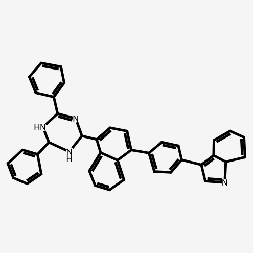 C1=CC2=C(c3ccc(-c4ccc(C5N=C(c6ccccc6)NC(c6ccccc6)N5)c5ccccc45)cc3)C=NC2C=C1